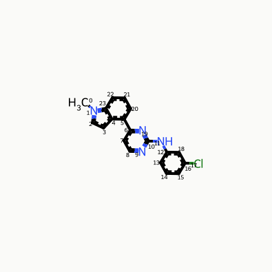 Cn1ccc2c(-c3ccnc(Nc4cccc(Cl)c4)n3)cccc21